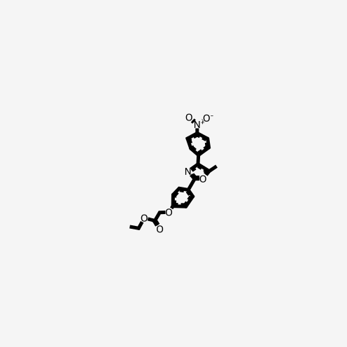 CCOC(=O)COc1ccc(-c2nc(-c3ccc([N+](=O)[O-])cc3)c(C)o2)cc1